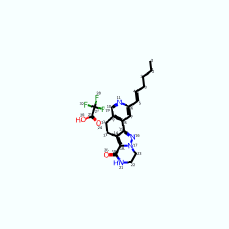 CCCC/C=C/c1cc2c(cn1)CCc1c-2nn2c1C(=O)NCC2.O=C(O)C(F)(F)F